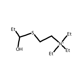 CCC(O)SCC[N+](CC)(CC)CC